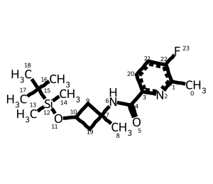 Cc1nc(C(=O)NC2(C)CC(O[Si](C)(C)C(C)(C)C)C2)ccc1F